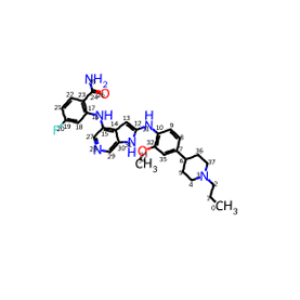 CCCN1CCC(c2ccc(Nc3cc4c(Nc5cc(F)ccc5C(N)=O)cncc4[nH]3)c(OC)c2)CC1